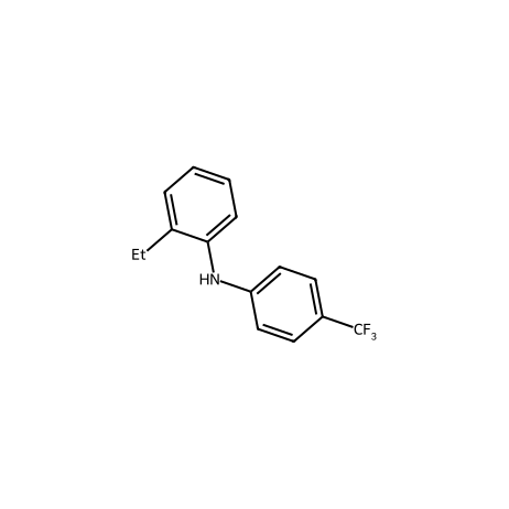 CCc1ccccc1Nc1ccc(C(F)(F)F)cc1